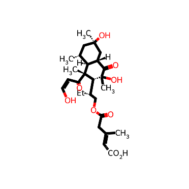 CC[C@@H](COC(=O)C/C(C)=C/C(=O)O)[C@H]1C(C)(O)C(=O)[C@H]2C[C@](C)(O)C[C@@H](C)[C@@H]2[C@@]1(C)C(=O)/C=C\O